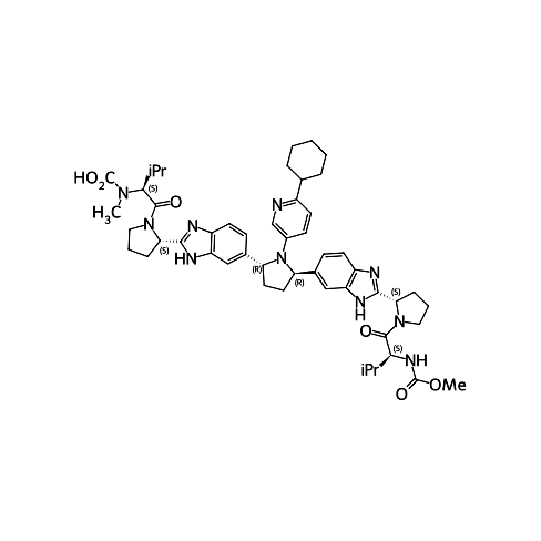 COC(=O)N[C@H](C(=O)N1CCC[C@H]1c1nc2ccc([C@H]3CC[C@H](c4ccc5nc([C@@H]6CCCN6C(=O)[C@H](C(C)C)N(C)C(=O)O)[nH]c5c4)N3c3ccc(C4CCCCC4)nc3)cc2[nH]1)C(C)C